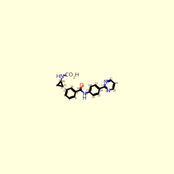 O=C(O)N[C@@H]1C[C@H]1c1cccc(C(=O)Nc2ccc(-c3ncccn3)cc2)c1